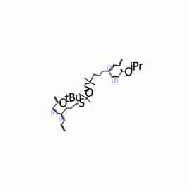 C=C/C=C(\C=C/C(=C)OC(C)(C)C)CCCSC(C)(C)OSC(C)(C)CCCC(/C=C\C(=C)OC(C)C)=C/C=C